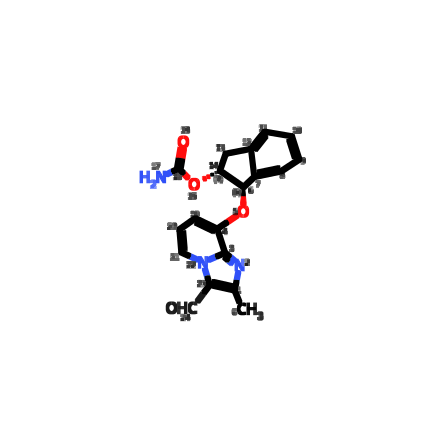 Cc1nc2c(O[C@@H]3c4ccccc4C[C@H]3OC(N)=O)cccn2c1C=O